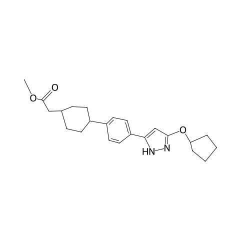 COC(=O)CC1CCC(c2ccc(-c3cc(OC4CCCC4)n[nH]3)cc2)CC1